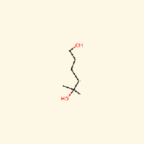 CC(C)(O)[CH]CCCO